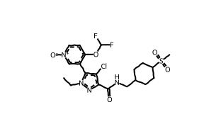 CCn1nc(C(=O)NCC2CCC(S(C)(=O)=O)CC2)c(Cl)c1-c1c[n+]([O-])ccc1OC(F)F